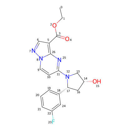 CCOC(=O)c1cnn2ccc(N3C[C@H](O)C[C@@H]3c3cccc(F)c3)nc12